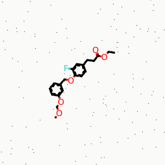 CCOC(=O)CCc1ccc(OCc2cccc(OCOC)c2)c(F)c1